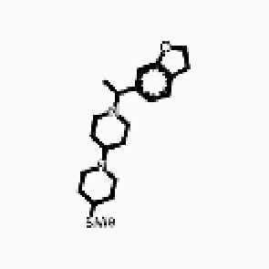 CSC1CCN(C2CCN(C(C)c3ccc4c(c3)OCC4)CC2)CC1